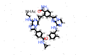 CC(=O)NCCNc1nccn2c(-c3ccc(C(=O)NC4CC4)cc3)cnc12.Cc1ccccc1CNc1nccn2cc(-c3ccc(C(N)=O)c(C4CC4)c3)nc12